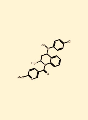 COc1ccc(C(=O)N2c3ccccc3[C@H](N(C(C)=O)c3ccc(Cl)cc3)C[C@@H]2C)cn1